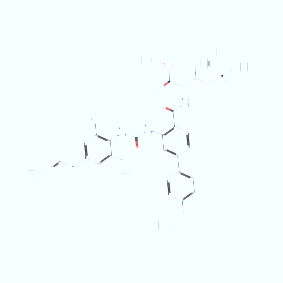 C=CCc1cc(C)c(NC(=O)Nc2cc(-c3ccc(OC)cc3)ccc2C(=O)N[C@H](C(=O)OC)C(C)OC(C)(C)C)c(C)c1